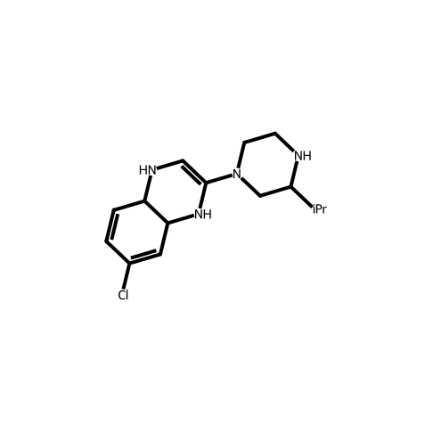 CC(C)C1CN(C2=CNC3C=CC(Cl)=CC3N2)CCN1